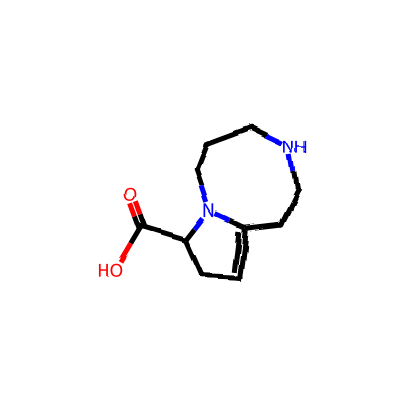 O=C(O)C1CC=C2CCNCCCN21